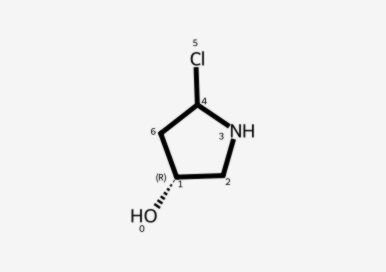 O[C@H]1CNC(Cl)C1